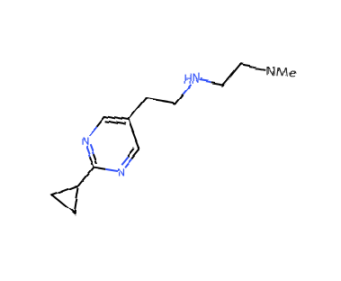 CNCCNCCc1cnc(C2CC2)nc1